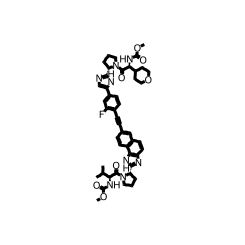 COC(=O)N[C@H](C(=O)N1CCC[C@H]1c1nc2ccc3cc(C#Cc4ccc(-c5cnc([C@@H]6CCCN6C(=O)[C@@H](NC(=O)OC)C6CCOCC6)[nH]5)cc4F)ccc3c2[nH]1)C(C)C